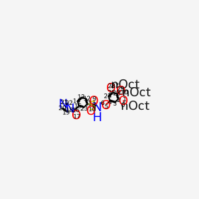 CCCCCCCCOc1cc(OCNS(=O)(=O)c2cccc(C(=O)n3ccnc3)c2)cc(OCCCCCCCC)c1OCCCCCCCC